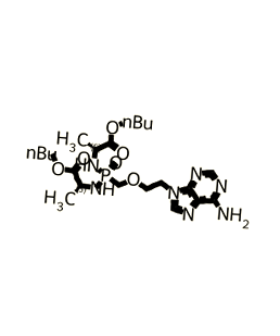 CCCCOC(=O)[C@H](C)NP(=O)(COCCn1cnc2c(N)ncnc21)N[C@@H](C)C(=O)OCCCC